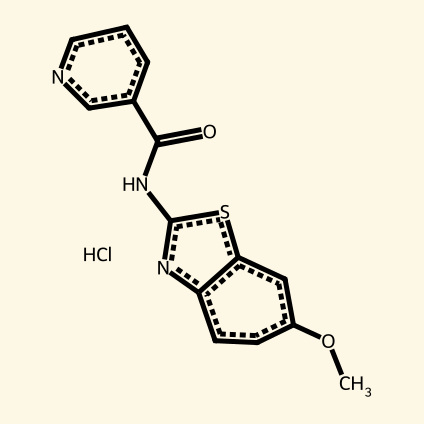 COc1ccc2nc(NC(=O)c3cccnc3)sc2c1.Cl